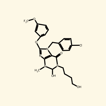 CN1c2nc(Oc3cccc(OC(F)(F)F)c3)n(Cc3ccc(Cl)cc3)c2C(=O)N(CCCCO)C1O